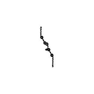 C=CC(=O)OCCCCCSc1ccc(C#Cc2ccc(OCc3ccc4cc(C#Cc5ccc(SCCCCCOC(C)=O)cc5)ccc4c3)c(C(C)(C)C)c2)cc1